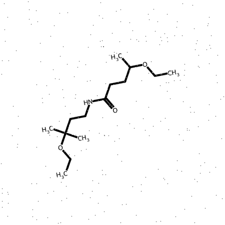 CCOC(C)CCC(=O)NCCC(C)(C)OCC